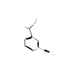 N#Cc1cccc(C(O)CO)c1